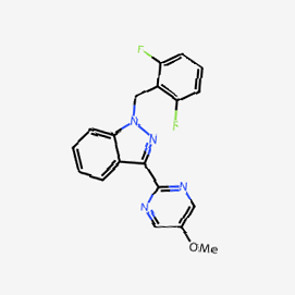 COc1cnc(-c2nn(Cc3c(F)cccc3F)c3ccccc23)nc1